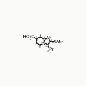 CSc1nc2cc(C(=O)O)ccn2c1C(C)C